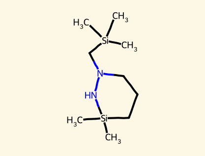 C[Si](C)(C)CN1CCC[Si](C)(C)N1